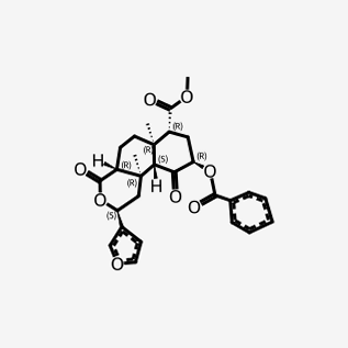 COC(=O)[C@@H]1C[C@@H](OC(=O)c2ccccc2)C(=O)[C@H]2[C@@]1(C)CC[C@H]1C(=O)O[C@H](c3ccoc3)C[C@]21C